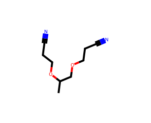 CC(COCCC#N)OCCC#N